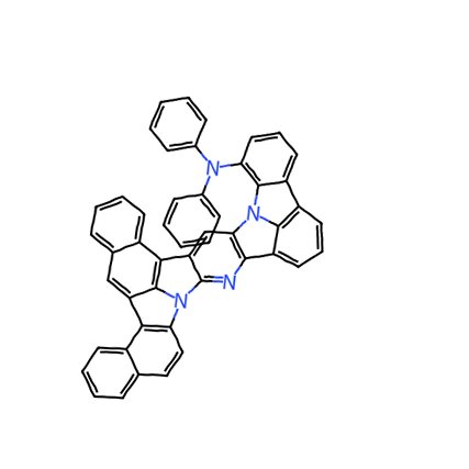 c1ccc(N(c2ccccc2)c2cccc3c4cccc5c6nc7c(cc6n(c23)c45)c2c3ccccc3cc3c4c5ccccc5ccc4n7c32)cc1